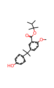 COc1ccc(C(C)(C)c2ccc(O)cc2)cc1C(=O)OC(C)(C)C(C)C